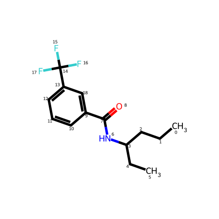 CCCC(CC)NC(=O)c1cccc(C(F)(F)F)c1